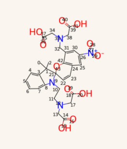 CC1(C)c2ccccc2N(CCN(CC(=O)O)CC(=O)O)C12C=Cc1cc([N+](=O)[O-])cc(CN(CC(=O)O)CC(=O)O)c1O2